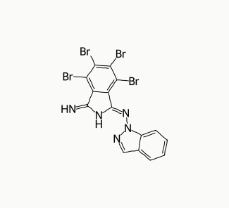 N=C1NC(=Nn2ncc3ccccc32)c2c(Br)c(Br)c(Br)c(Br)c21